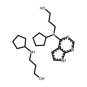 OCCCN(c1ncnc2[nH]ccc12)C1CCCC1.OCCCNC1CCCC1